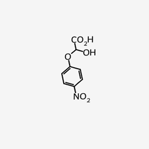 O=C(O)C(O)Oc1ccc([N+](=O)[O-])cc1